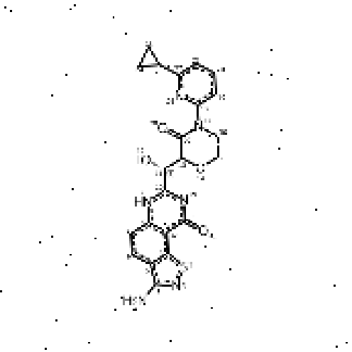 Nc1nsc2c1ccc1[nH]c([C@H](O)C3OCCN(c4cccc(C5CC5)n4)C3=O)nc(=O)c12